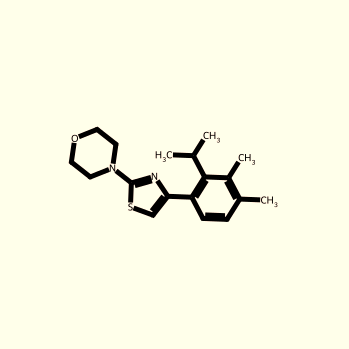 Cc1ccc(-c2csc(N3CCOCC3)n2)c(C(C)C)c1C